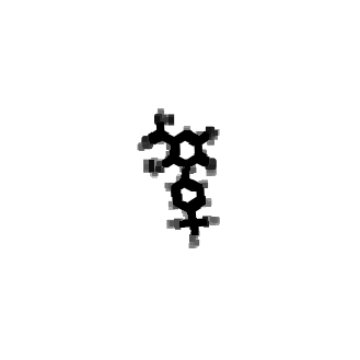 Cc1c(C(=O)O)cc(Br)c(=O)n1-c1ccc(C(F)(F)F)cc1